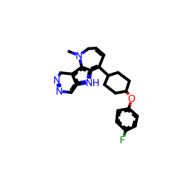 CN1CC=CC(C2CCC(Oc3ccc(F)cc3)CC2)=c2[nH]c3c(c21)CN=NC=3